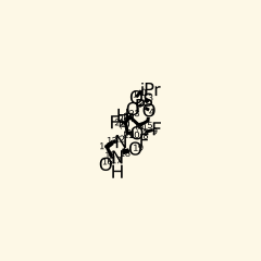 CC(C)OP1(=S)OC[C@@]2(C(F)F)O[C@@H](n3ccc(=O)[nH]c3=O)[C@@H](F)[C@@H]2O1